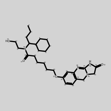 CCCC(C1CCCCC1)N(CCO)C(=O)CCCCCOc1ccc2c(c1)N=C1NC(=O)CN1C2